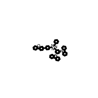 c1ccc(-c2nc(-c3ccc(-c4ccc5c(c4)oc4ccccc45)cc3)nc(-c3cc(-n4c5ccccc5c5ccccc54)cc(-n4c5ccccc5c5ccccc54)c3)n2)cc1